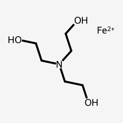 OCCN(CCO)CCO.[Fe+2]